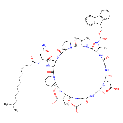 CC(C)CCCCCCC/C=C\CC(=O)N[C@@H](CC(N)=O)C(=O)NC1C(=O)N2CCCC[C@@H]2C(=O)N[C@@H](C(C)C(=O)O)C(=O)N[C@@H](CC(=O)O)C(=O)NCC(=O)NC(CC(=O)O)C(=O)NCC(=O)N[C@H](C(C)NC(=O)OCC2c3ccccc3-c3ccccc32)C(=O)N[C@@H](C(C)C)C(=O)N2CCC[C@H]2C(=O)N[C@@H]1C